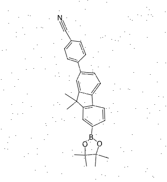 CC1(C)c2cc(B3OC(C)(C)C(C)(C)O3)ccc2-c2ccc(-c3ccc(C#N)cc3)cc21